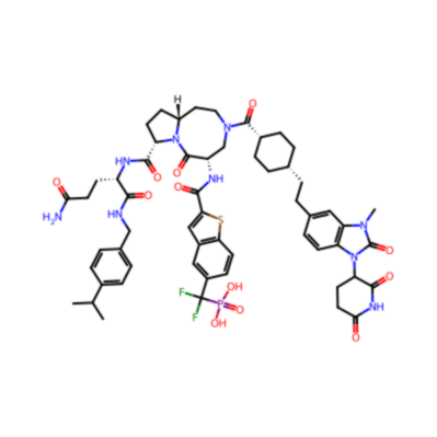 CC(C)c1ccc(CNC(=O)[C@H](CCC(N)=O)NC(=O)[C@@H]2CC[C@@H]3CCN(C(=O)[C@H]4CC[C@@H](CCc5ccc6c(c5)n(C)c(=O)n6C5CCC(=O)NC5=O)CC4)C[C@H](NC(=O)c4cc5cc(C(F)(F)P(=O)(O)O)ccc5s4)C(=O)N32)cc1